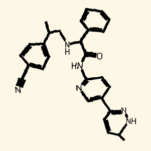 CC1C=CC(c2ccc(NC(=O)C(NCC(C)c3ccc(C#N)cc3)c3ccccc3)nc2)=NN1